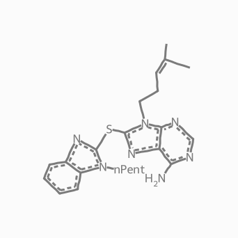 CCCCCn1c(Sc2nc3c(N)ncnc3n2CCC=C(C)C)nc2ccccc21